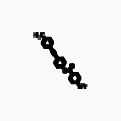 CCCC1CCC(C(=O)Oc2ccc(C#Cc3ccc(C)cc3)cc2)CC1